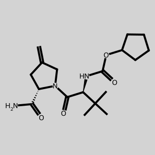 C=C1C[C@@H](C(N)=O)N(C(=O)[C@@H](NC(=O)OC2CCCC2)C(C)(C)C)C1